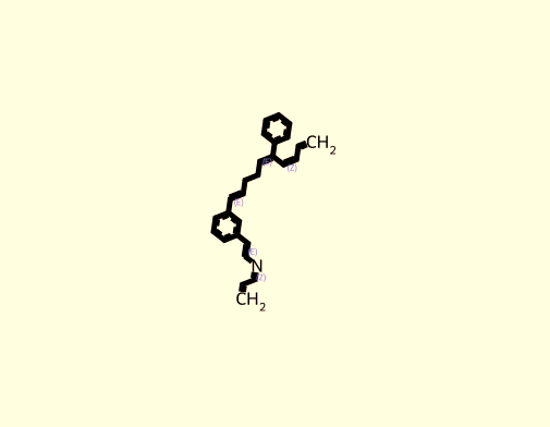 C=C/C=C\C(=C/CC/C=C/c1cccc(/C=C/N=C\C=C)c1)c1ccccc1